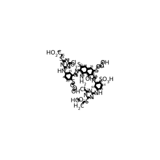 C=C(OO)Sc1nc(Cl)nc(Nc2ccc(S(=O)(=O)O)c(N=Nc3c(SOOO)cc4cc(S(=O)(=O)O)c(N=Nc5cc(Nc6nc(Cl)nc(SCC(=O)O)n6)ccc5SOOO)c(N)c4c3O)c2)n1